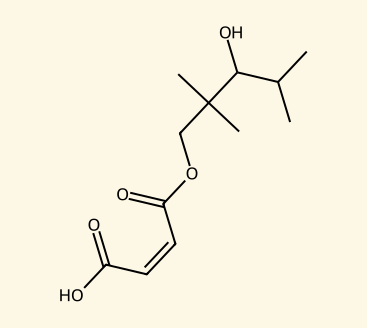 CC(C)C(O)C(C)(C)COC(=O)/C=C\C(=O)O